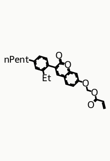 C=CC(=O)OCOc1ccc2cc(-c3ccc(CCCCC)cc3CC)c(=O)oc2c1